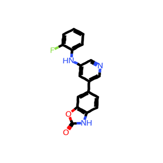 O=c1[nH]c2ccc(-c3cncc(Nc4ccccc4F)c3)cc2o1